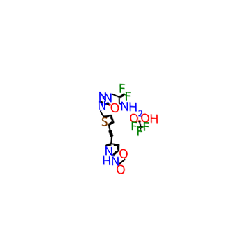 NCC(Cn1ncn(Cc2ccc(C#Cc3cnc4c(c3)OCC(=O)N4)s2)c1=O)=C(F)F.O=C(O)C(F)(F)F